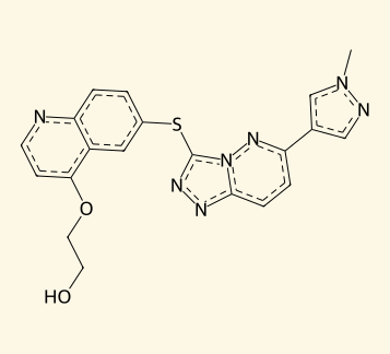 Cn1cc(-c2ccc3nnc(Sc4ccc5nccc(OCCO)c5c4)n3n2)cn1